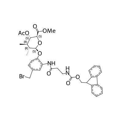 COC(=O)[C@H]1O[C@@H](Oc2ccc(CBr)cc2NC(=O)CCNC(=O)OCC2c3ccccc3-c3ccccc32)[C@H](C)[C@@H](C)[C@@H]1OC(C)=O